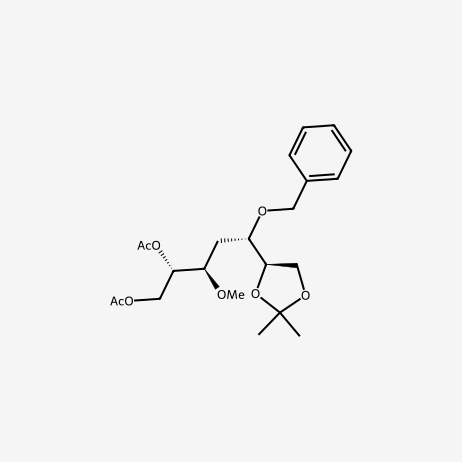 CO[C@H](C[C@H](OCc1ccccc1)[C@H]1COC(C)(C)O1)[C@H](COC(C)=O)OC(C)=O